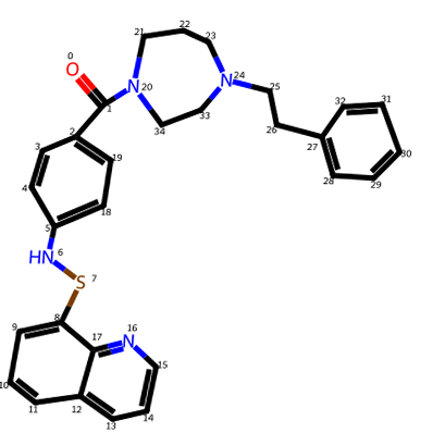 O=C(c1ccc(NSc2cccc3cccnc23)cc1)N1CCCN(CCc2ccccc2)CC1